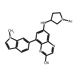 CC(=O)N1CCC(Nc2cc(-c3ccc4ccn(C)c4c3)c3nc(C#N)cnc3c2)C1